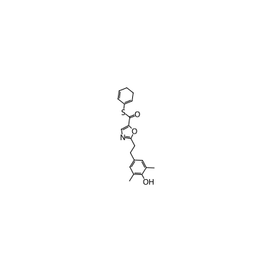 Cc1cc(CCc2ncc(C(=O)SC3=CCCC=C3)o2)cc(C)c1O